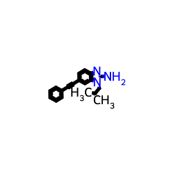 CC(C)Cn1c(N)nc2ccc(C#Cc3ccccc3)cc21